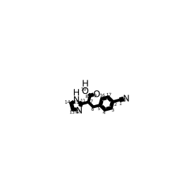 N#Cc1ccc(CC(C(=O)O)c2ncc[nH]2)cc1